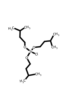 CC(C)CCO[Si](Cl)(OCCC(C)C)OCCC(C)C